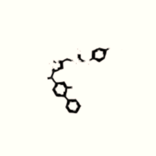 Cc1ccc(NC(=N)NCc2cc(C(C)c3ccc(-c4ccccc4)c(F)c3)no2)cc1